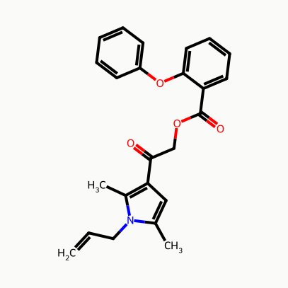 C=CCn1c(C)cc(C(=O)COC(=O)c2ccccc2Oc2ccccc2)c1C